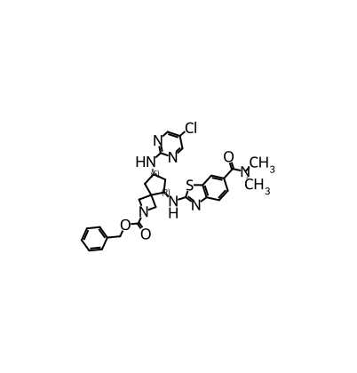 CN(C)C(=O)c1ccc2nc(N[C@@H]3C[C@@H](Nc4ncc(Cl)cn4)CC34CN(C(=O)OCc3ccccc3)C4)sc2c1